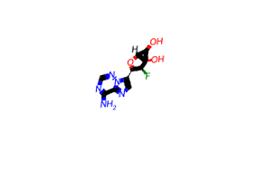 Nc1ncnn2c([C@@H]3O[C@@H]4C(O)[C@]4(O)[C@H]3F)cnc12